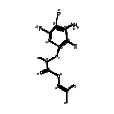 CC(C)=NOC(=O)[C@@H](C)Oc1nc(F)c(Cl)c(N)c1Cl